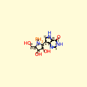 O=c1[nH]cnc2c([C@H]3[C@H](O)[C@H](O)[C@@H](CO)N3P)c[nH]c12